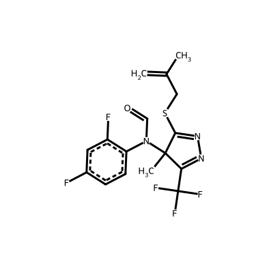 C=C(C)CSC1=NN=C(C(F)(F)F)C1(C)N(C=O)c1ccc(F)cc1F